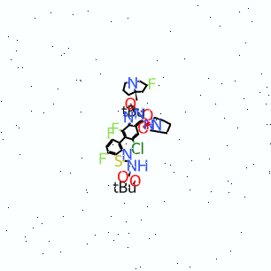 CC(C)(C)OC(=O)Nc1nc2c(-c3c(Cl)cc4c(N5CC6CCC(C5)N6C(=O)OC(C)(C)C)nc(OC[C@@]56CCCN5C[C@H](F)C6)nc4c3F)c(F)cc(F)c2s1